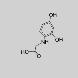 O=C(O)CNc1ccc(O)cc1O